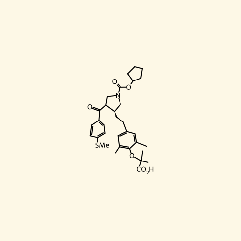 CSc1ccc(C(=O)C2CN(C(=O)OC3CCCC3)C[C@H]2CCc2cc(C)c(OC(C)(C)C(=O)O)c(C)c2)cc1